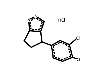 Cl.Clc1ccc(C2CCc3[nH]ncc32)cc1Cl